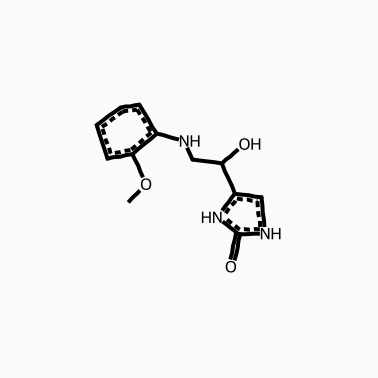 COc1ccccc1NCC(O)c1c[nH]c(=O)[nH]1